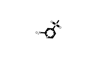 CS(=O)(=O)c1ccnc([N+](=O)[O-])c1